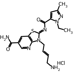 CCn1nc(C)cc1C(=O)/N=c1\sc2cc(C(N)=O)cnc2n1C/C=C/CN.Cl